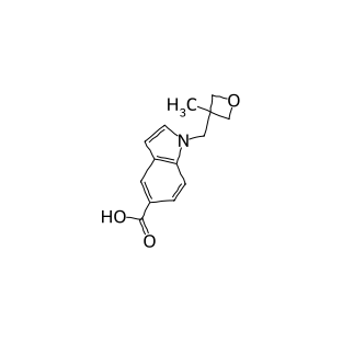 CC1(Cn2ccc3cc(C(=O)O)ccc32)COC1